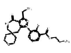 CCCOC(=O)c1cccc(-n2nc(CC)c3c2CC2(CCOCC2)CNC3=O)c1Cl